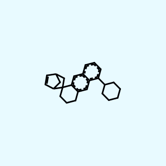 C1=CC2CC1CC21CCCc2cc3c(C4CCCCC4)cccc3cc21